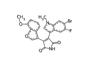 COc1cccc2c(C3=C(c4cn(C)c5cc(Br)c(F)cc45)C(=O)NC3=O)coc12